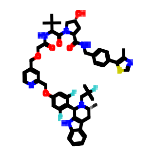 Cc1ncsc1-c1ccc(CNC(=O)[C@@H]2C[C@@H](O)CN2C(=O)C(NC(=O)COCc2ccnc(COc3cc(F)c([C@@H]4c5[nH]c6ccccc6c5C[C@@H](C)N4CC(C)(C)F)c(F)c3)c2)C(C)(C)C)cc1